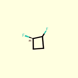 FC1CC[C@H]1F